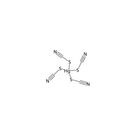 N#C[S][Hg]([S]C#N)([S]C#N)[S]C#N